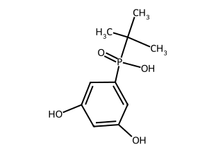 CC(C)(C)P(=O)(O)c1cc(O)cc(O)c1